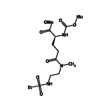 CCS(=O)(=O)NCCN(C)C(=O)CC[C@H](NC(=O)OC(C)(C)C)C(=O)OC